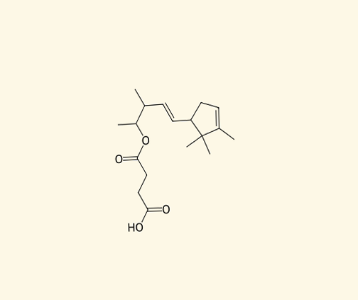 CC1=CCC(C=CC(C)C(C)OC(=O)CCC(=O)O)C1(C)C